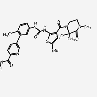 CCNC(=O)c1ccc(-c2cc(NC(=O)Nc3sc(C(C)(C)C)cc3C(=O)N3CCN(C)C(=O)C3(C)C)ccc2C)cn1